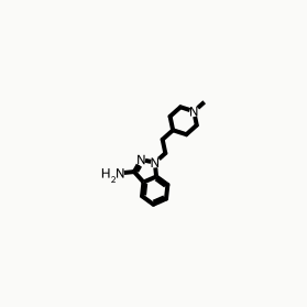 CN1CCC(CCn2nc(N)c3ccccc32)CC1